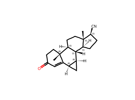 C[C@]12CC[C@H]3[C@@H]([C@H]4C[C@H]4C4=CC(=O)CC[C@@]43C)[C@@H]1CC[C@@H]2C#N